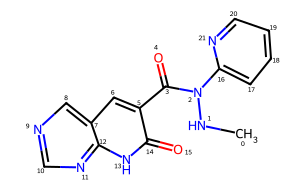 CNN(C(=O)c1cc2cncnc2[nH]c1=O)c1ccccn1